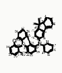 CC1(C)c2ccccc2-c2cc(N(c3ccccc3)c3ccc4c5c3c3cccc6c3n5-c3c(cccc3O4)O6)ccc21